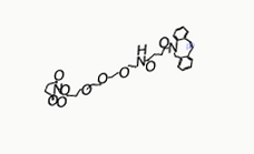 O=C(CCC(=O)N1Cc2ccccc2/C=C\c2ccccc21)NCCOCCOCCOCCC(=O)ON1C(=O)CCC1=O